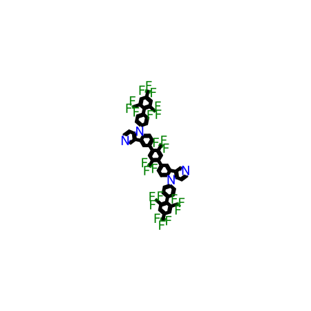 FC(F)(F)c1cc(C(F)(F)F)c(-c2ccc(-n3c4ccncc4c4cc(-c5cc(C(F)(F)F)c(-c6ccc7c(c6)c6cnccc6n7-c6ccc(-c7c(C(F)(F)F)cc(C(F)(F)F)cc7C(F)(F)F)cc6)cc5C(F)(F)F)ccc43)cc2)c(C(F)(F)F)c1